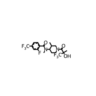 CC1CN(C(=O)C(C)(O)C(F)(F)F)CCC1N(C)C(=O)c1ccc(C(F)(F)F)cc1F